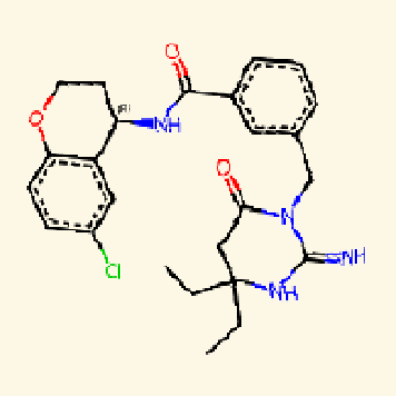 CCC1(CC)CC(=O)N(Cc2cccc(C(=O)N[C@@H]3CCOc4ccc(Cl)cc43)c2)C(=N)N1